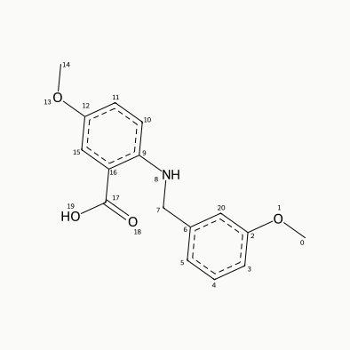 COc1cccc(CNc2ccc(OC)cc2C(=O)O)c1